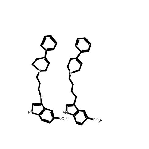 O=C(O)c1ccc2[nH]cc(CCCCN3CC=C(c4ccccc4)CC3)c2c1.O=C(O)c1ccc2[nH]cc(CCCCN3CC=C(c4ccccc4)CC3)c2c1